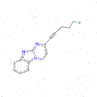 FCCCC#Cc1ccn2c(n1)nc1ccccc12